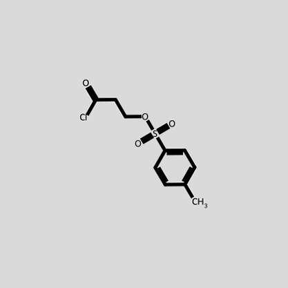 Cc1ccc(S(=O)(=O)OCCC(=O)Cl)cc1